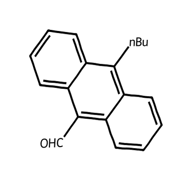 CCCCc1c2ccccc2c(C=O)c2ccccc12